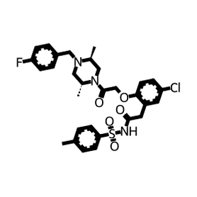 Cc1ccc(S(=O)(=O)NC(=O)Cc2cc(Cl)ccc2OCC(=O)N2C[C@H](C)N(Cc3ccc(F)cc3)C[C@H]2C)cc1